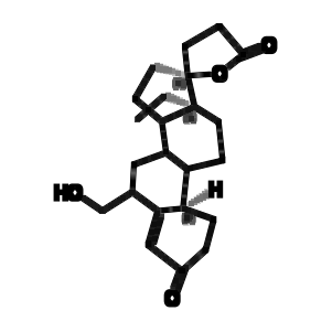 CC[C@]12CCC3C(CC(CO)C4=CC(=O)CC[C@@H]43)C1CC[C@@]21CCC(=O)O1